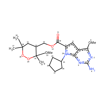 COc1nc(N)nc2c1cc(C(=O)OCC1CC(C)(C)OOC1(C)OC)n2C1CCCC1